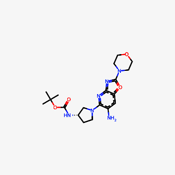 CC(C)(C)OC(=O)N[C@H]1CCN(c2nc3nc(N4CCOCC4)oc3cc2N)C1